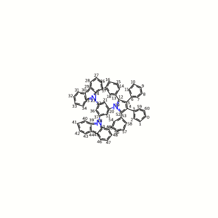 c1ccc(-c2c(-c3ccccc3)c(-c3ccccc3)n(-c3cc(-n4c5ccccc5c5ccccc54)cc(-n4c5ccccc5c5ccccc54)c3)c2-c2ccccc2)cc1